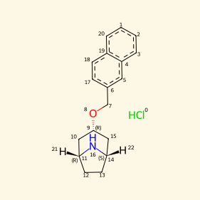 Cl.c1ccc2cc(CO[C@H]3C[C@H]4CC[C@@H](C3)N4)ccc2c1